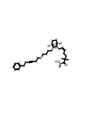 CN(O)C(=O)C(C)(C)CC/C=C\C[C@H]1[C@@H](CCCCOCCC#CCCc2ccccc2)[C@H]2CC[C@@H]1O2